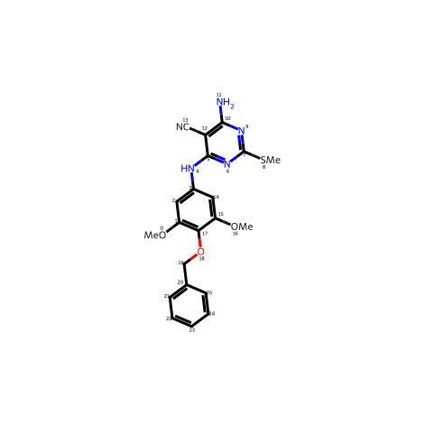 COc1cc(Nc2nc(SC)nc(N)c2C#N)cc(OC)c1OCc1ccccc1